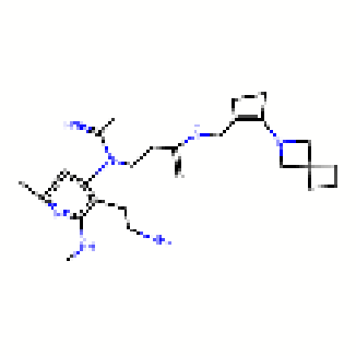 C=C(CCN(C(C)=N)c1cc(C)nc(NC)c1CCN)NCC1=C(N2CC3(CCC3)C2)CC1